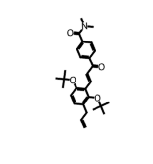 C=CCc1ccc(OC(C)(C)C)c(/C=C/C(=O)c2ccc(C(=O)N(C)C)cc2)c1OC(C)(C)C